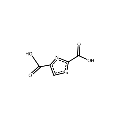 O=C(O)c1csc(C(=O)O)n1